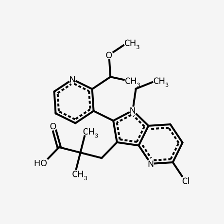 CCn1c(-c2cccnc2C(C)OC)c(CC(C)(C)C(=O)O)c2nc(Cl)ccc21